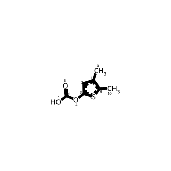 Cc1cc(OC(=O)O)sc1C